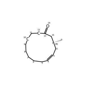 C[C@@H]1CC=CCCCCCCCCC(=O)C1